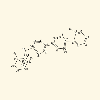 Cc1ccccc1-c1ccc(-c2ccc(CC3CC4CCC3(C)C4(C)C)cc2)cn1